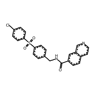 O=C(NCc1ccc(S(=O)(=O)c2ccc(Cl)cc2)cc1)c1ccc2ccncc2c1